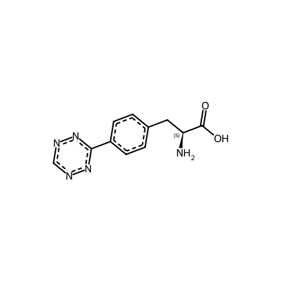 N[C@@H](Cc1ccc(-c2nncnn2)cc1)C(=O)O